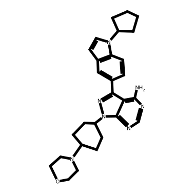 Nc1ncnc2c1c(-c1ccc3c(ccn3C3CCCC3)c1)nn2C1CCC(N2CCOCC2)CC1